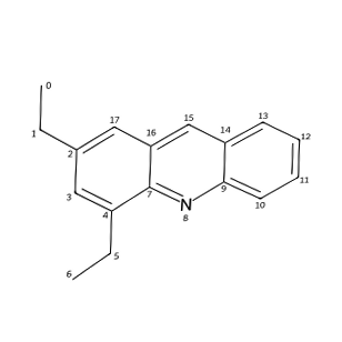 CCc1cc(CC)c2nc3ccccc3cc2c1